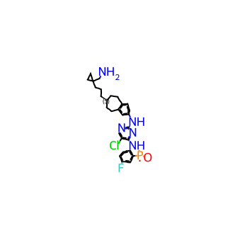 CP(C)(=O)c1cc(F)ccc1Nc1nc(Nc2ccc3c(c2)CC[C@@H](CCCC2(CN)CC2)CC3)ncc1Cl